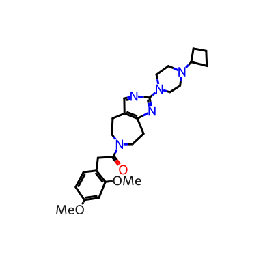 COc1ccc(CC(=O)N2CCc3cnc(N4CCN(C5CCC5)CC4)nc3CC2)c(OC)c1